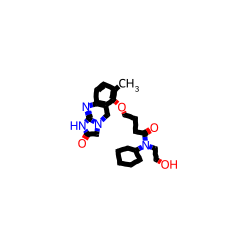 Cc1ccc2c(c1OCCCC(=O)N(CCO)C1CCCCC1)CN1CC(=O)NC1=N2